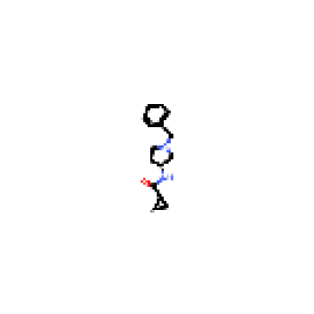 O=C(N[C@@H]1CCN(Cc2ccccc2)C1)C1CC1